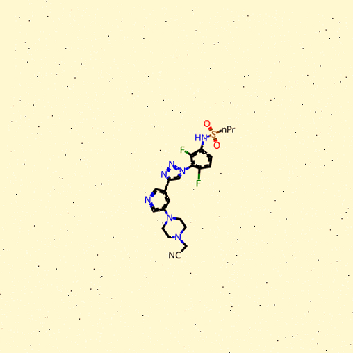 CCCS(=O)(=O)Nc1ccc(F)c(-n2cc(-c3cncc(N4CCN(CC#N)CC4)c3)nn2)c1F